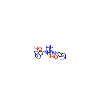 Oc1c(/C=N/NC(=S)N/N=C/c2cc3c4c(c2O)CCCN4CCC3)cc2c3c1CCCN3CCC2